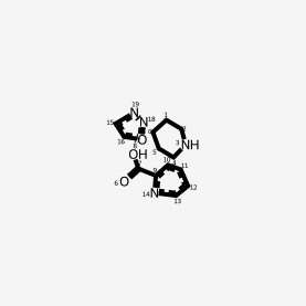 C1CCNCC1.O=C(O)c1ccccn1.c1conn1